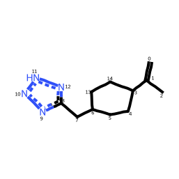 C=C(C)C1CCC(Cc2nn[nH]n2)CC1